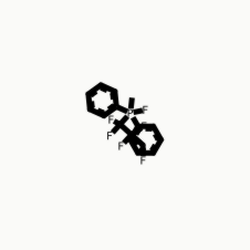 CP(F)(c1ccccc1)(c1ccccc1)C(F)(F)C(F)(F)CF